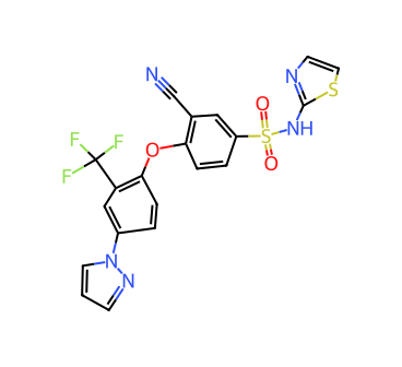 N#Cc1cc(S(=O)(=O)Nc2nccs2)ccc1Oc1ccc(-n2cccn2)cc1C(F)(F)F